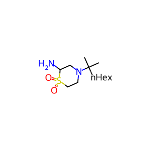 CCCCCCC(C)(C)N1CCS(=O)(=O)C(N)C1